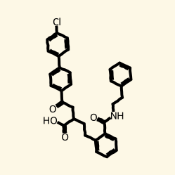 O=C(CC(CCc1ccccc1C(=O)NCCc1ccccc1)C(=O)O)c1ccc(-c2ccc(Cl)cc2)cc1